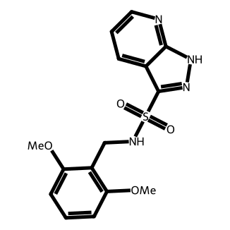 COc1cccc(OC)c1CNS(=O)(=O)c1n[nH]c2ncccc12